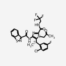 CC(=O)Cn1c(C(=O)NCC(F)(F)F)nc(NC(=O)c2nsc3ccccc23)c1[C@@H](C)c1cc(F)ccc1Cl